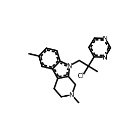 Cc1ccc2c(c1)c1c(n2CC(C)(Cl)c2ccncn2)CN(C)CC1